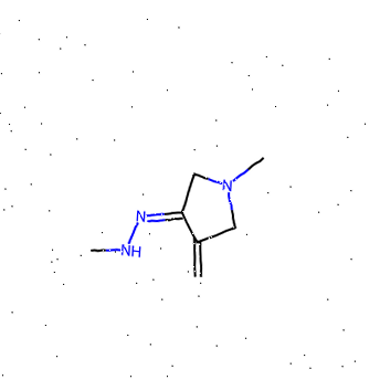 C=C1CN(C)C/C1=N/NC